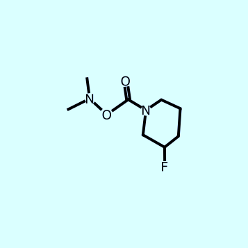 CN(C)OC(=O)N1CCCC(F)C1